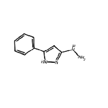 NNc1cc(-c2ccccc2)[nH]n1